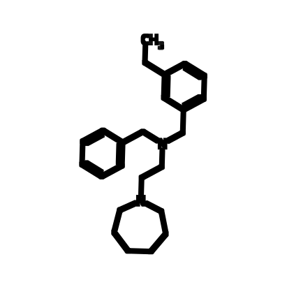 CCc1cccc(CN(CCN2CCCCCC2)Cc2ccccc2)c1